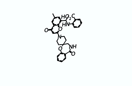 Cc1cc(C(C)Nc2ccccc2C(=O)O)c2oc(N3CCC4(CC3)CNC(=O)c3ccccc3O4)cc(=O)c2c1